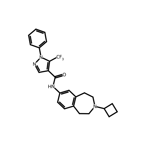 O=C(Nc1ccc2c(c1)CCN(C1CCC1)CC2)c1cnn(-c2ccccc2)c1C(F)(F)F